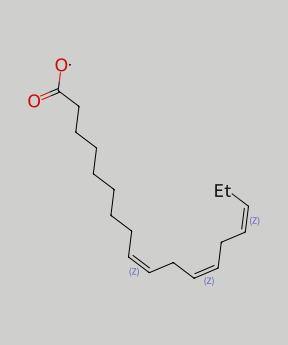 CC/C=C\C/C=C\C/C=C\CCCCCCCC([O])=O